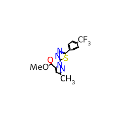 COC(=O)c1cc(C)nn1-c1nnc(-c2ccc(C(F)(F)F)cc2)s1